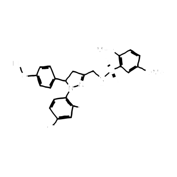 CCOc1ccc(C2CC(CNS(=O)(=O)c3cc(OC)ccc3OC)=NN2c2ccc(Cl)cc2Cl)cc1